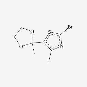 Cc1nc(Br)sc1C1(C)OCCO1